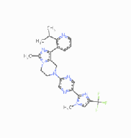 Cc1nc(-c2cccnc2C(C)C)c2n1CCN(c1cnc(-c3nc(C(F)(F)F)cn3C)cn1)C2